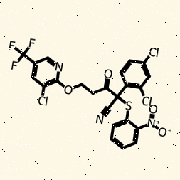 N#CC(Sc1ccccc1[N+](=O)[O-])(C(=O)CCOc1ncc(C(F)(F)F)cc1Cl)c1ccc(Cl)cc1Cl